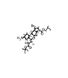 CC(C)COC(=O)n1cc(Br)c2cc(-c3ccc(N)nc3C(=O)[C@H](C)NC(=O)OC(C)(C)C)cnc21